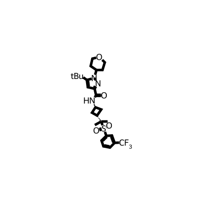 CC(C)(C)c1cc(C(=O)N[C@H]2C[C@@H](C(C)(C)S(=O)(=O)c3cccc(C(F)(F)F)c3)C2)nn1C1CCOCC1